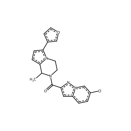 CC1c2ccc(-c3ccoc3)n2CCN1C(=O)c1cc2ccc(Cl)cn2n1